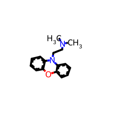 CN(C)CCN1c2ccccc2Oc2ccccc21